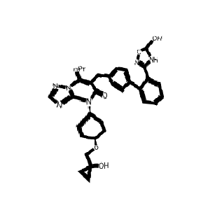 CCCc1c(Cc2ccc(-c3ccccc3C3=NOC(O)N3)cc2)c(=O)n([C@H]2CC[C@H](OCC3(O)CC3)CC2)c2ncnn12